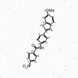 COc1ccc2nc(-c3ccc(NC(=O)c4ccc([N+](=O)[O-])cc4)cc3)sc2c1